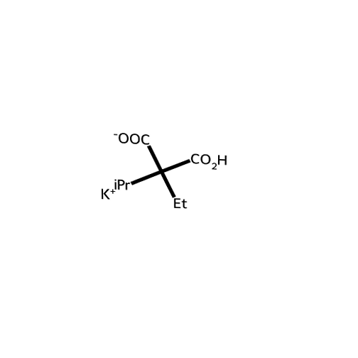 CCC(C(=O)[O-])(C(=O)O)C(C)C.[K+]